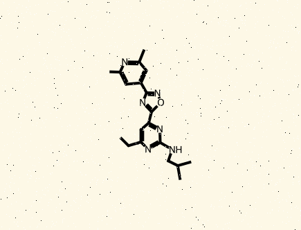 CCc1cc(-c2nc(-c3cc(C)nc(C)c3)no2)nc(NCC(C)C)n1